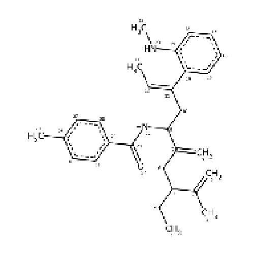 C=C(C)C(CC)CC(=C)C(C/C(=C/C)c1ccccc1NC)NC(=O)c1ccc(C)cc1